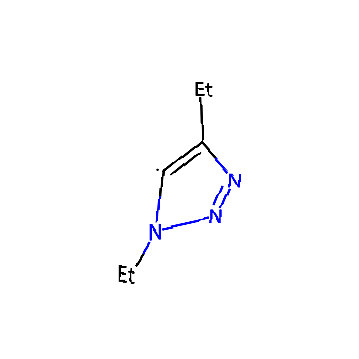 CCc1[c]n(CC)nn1